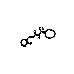 CC(NC(=O)C=Cc1ccccc1F)N1CCCCCC1